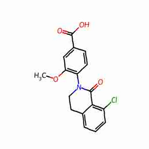 COc1cc(C(=O)O)ccc1N1CCc2cccc(Cl)c2C1=O